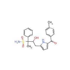 Cc1ccc(C(=O)c2ccc(CC(O)C(C)(c3ccccc3)S(N)(=O)=O)[nH]2)cc1